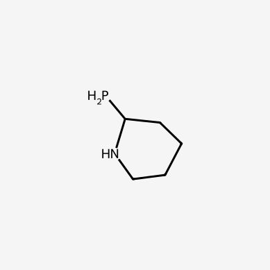 PC1CCCCN1